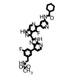 CS(=O)(=O)NCc1cc(F)cc(-c2ccnc3[nH]c(-c4n[nH]c5cnc(-c6cncc(NC(=O)C7CCCCC7)c6)c(F)c45)nc23)c1